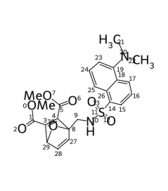 COC(=O)C1=C(C(=O)OC)C2(CNS(=O)(=O)c3cccc4c(N(C)C)cccc34)C=CC1O2